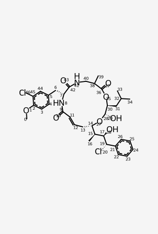 COc1ccc(C[C@H]2NC(=O)/C=C/C[C@@H]([C@H](C)[C@@H](O)[C@@H](Cl)c3ccccc3)O[C@@H](O)[C@H](CC(C)C)OC(=O)C(C)CNC2=O)cc1Cl